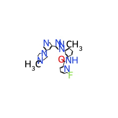 Cc1ccc(NC(=O)c2cccc(F)n2)cc1-n1cc(-c2cncc(N3CCN(C)CC3)c2)nn1